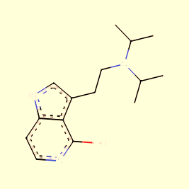 CC(C)N(CCc1c[nH]c2ccnc(O)c12)C(C)C